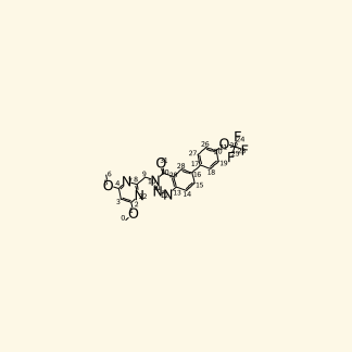 COc1cc(OC)nc(Cn2nnc3ccc(-c4ccc(OC(F)(F)F)cc4)cc3c2=O)n1